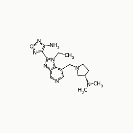 CCn1c(-c2nonc2N)nc2cncc(CN3CC[C@@H](N(C)C)C3)c21